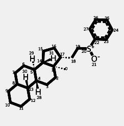 C[C@]12CC[C@H]3[C@@H](CCC4CCCC[C@H]43)[C@@H]1CC[C@@H]2CC[S+]([O-])c1ccccc1